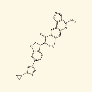 CN(C(=O)c1cc2c(cc1F)nc(N)c1cncn12)[C@@H]1COc2cc(-c3cnn(C4CC4)c3)ccc21